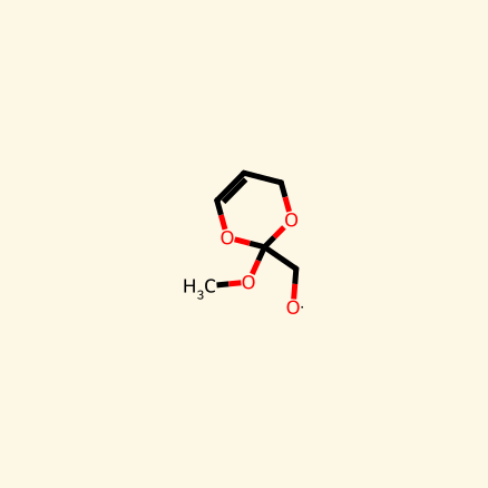 COC1(C[O])OC=CCO1